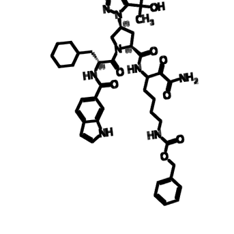 CC(C)(O)c1cnnn1[C@H]1C[C@@H](C(=O)NC(CCCCNC(=O)OCc2ccccc2)C(=O)C(N)=O)N(C(=O)[C@@H](CC2CCCCC2)NC(=O)c2ccc3cc[nH]c3c2)C1